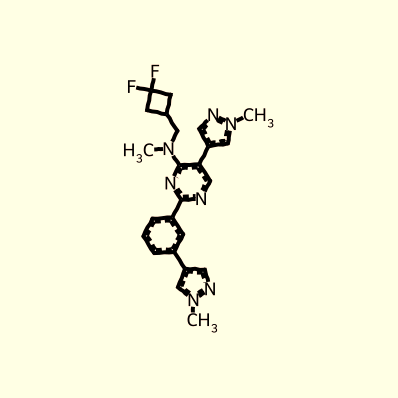 CN(CC1CC(F)(F)C1)c1nc(-c2cccc(-c3cnn(C)c3)c2)ncc1-c1cnn(C)c1